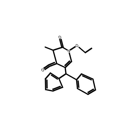 CCON1C=C(C(c2ccccc2)c2ccccc2)C(=C=O)C(C)C1=O